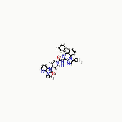 Cc1cnc2n1-c1ccccc1C(c1ccccc1)=N[C@H]2NC(=O)N1CCC(n2c(=O)n(C)c3ncccc32)CC1